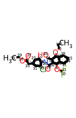 CCCOc1c2c(c(OC(F)F)c3ccccc13)C(=O)N(c1ccc(CC(=O)OCC)cc1Cl)C2O